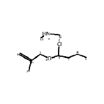 C=C(C)COC(Cl)CCC.CNC